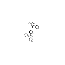 CC(=O)N(c1ccc(-c2ccc(Cl)cc2)c(COc2ccc(-c3nc4cc(C(=O)O)ccc4n3C3CCCCC3)c(F)c2)c1)C(C)C